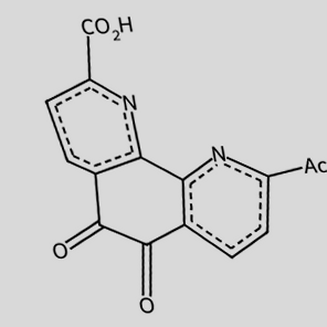 CC(=O)c1ccc2c(n1)-c1nc(C(=O)O)ccc1C(=O)C2=O